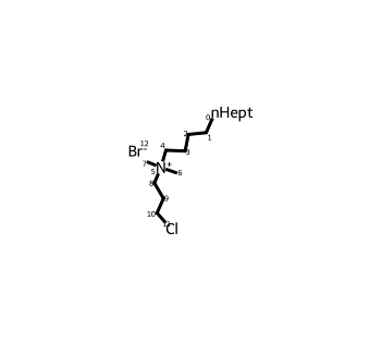 CCCCCCCCCCC[N+](C)(C)CCCCl.[Br-]